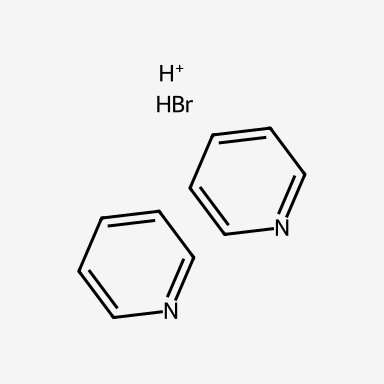 Br.[H+].c1ccncc1.c1ccncc1